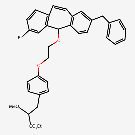 CCOC(=O)C(Cc1ccc(OCCOC2c3ccc(Cc4ccccc4)cc3C=Cc3ccc(CC)cc32)cc1)OC